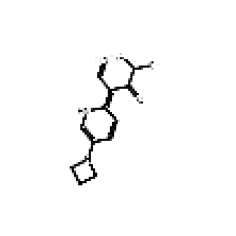 CC(C)C(=O)/C(C=N)=C1\C=CC(N2CCC2)=CN1